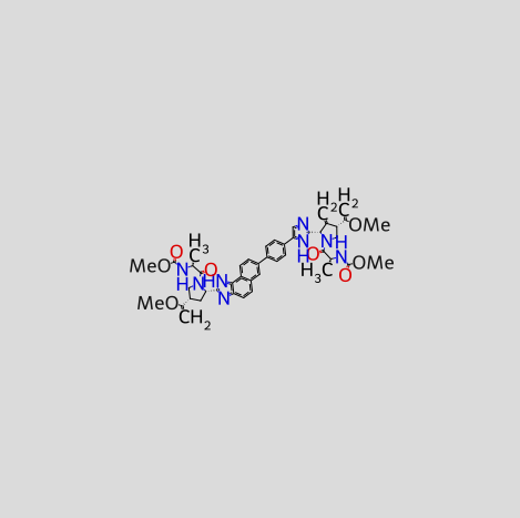 C=C(OC)[C@H]1C[C@@H](c2nc3ccc4cc(-c5ccc(-c6cnc([C@@H]7C(=C)[C@H](C(=C)OC)CN7C(=O)[C@H](C)NC(=O)OC)[nH]6)cc5)ccc4c3[nH]2)N(C(=O)[C@H](C)NC(=O)OC)C1